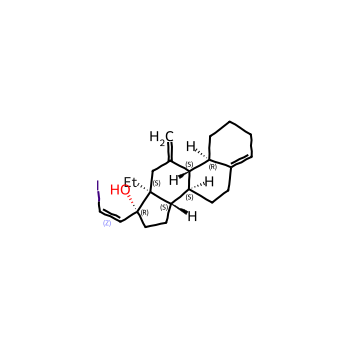 C=C1C[C@@]2(CC)[C@@H](CC[C@@]2(O)/C=C\I)[C@@H]2CCC3=CCCC[C@@H]3[C@@H]12